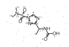 CC(NC(=O)O)c1ncn(S(=O)(=O)N(C)C)n1